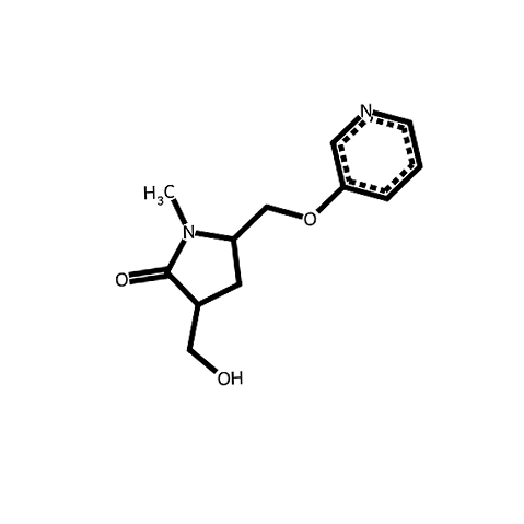 CN1C(=O)C(CO)CC1COc1cccnc1